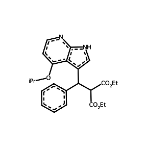 CCOC(=O)C(C(=O)OCC)C(c1ccccc1)c1c[nH]c2nccc(OC(C)C)c12